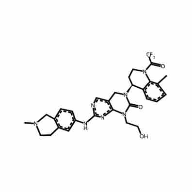 Cc1cccc2c1N(C(=O)C(F)(F)F)CC[C@@H]2N1Cc2cnc(Nc3ccc4c(c3)CCN(C)C4)nc2N(CCO)C1=O